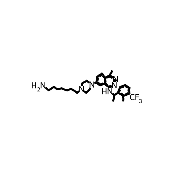 Cc1c(C(C)Nc2nnc(C)c3ccc(N4CCN(CCCCCCCN)CC4)cc23)cccc1C(F)(F)F